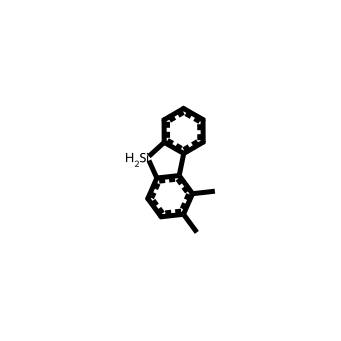 Cc1ccc2c(c1C)-c1ccccc1[SiH2]2